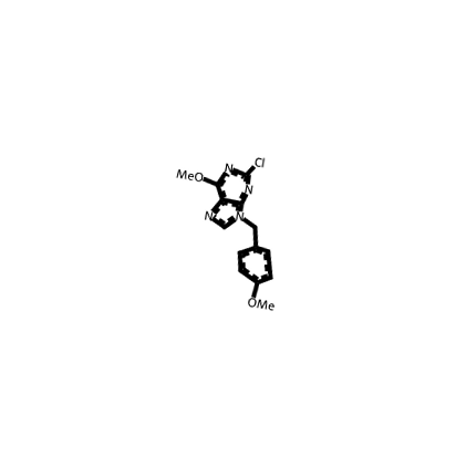 COc1ccc(Cn2cnc3c(OC)nc(Cl)nc32)cc1